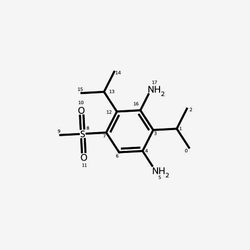 CC(C)c1c(N)cc(S(C)(=O)=O)c(C(C)C)c1N